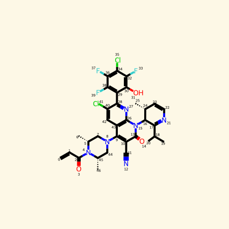 C=CC(=O)N1[C@H](C)CN(c2c(C#N)c(=O)n(C3C(C(C)C)=NC=C[C@H]3C)c3nc(-c4c(O)c(F)c(Cl)c(F)c4F)c(Cl)cc23)C[C@@H]1C